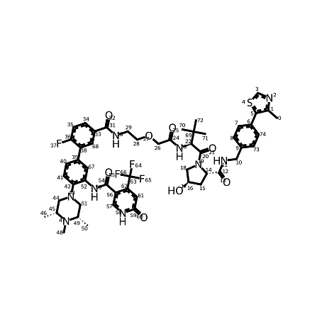 Cc1ncsc1-c1ccc(CNC(=O)[C@@H]2C[C@@H](O)CN2C(=O)[C@@H](NC(=O)COCCNC(=O)c2ccc(F)c(-c3ccc(N4C[C@@H](C)N(C)[C@@H](C)C4)c(NC(=O)c4c[nH]c(=O)cc4C(F)(F)F)c3)c2)C(C)(C)C)cc1